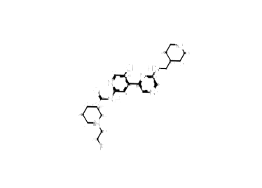 O=C(Nc1cc(-c2cncc(NCC3CCOCC3)n2)c(Cl)cn1)[C@@H]1CCCN(CCF)C1